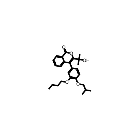 CCCCOc1cc(-c2c(C(C)(C)O)oc(=O)c3ccccc23)ccc1OCC(C)C